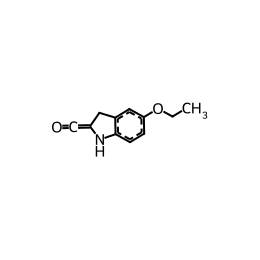 CCOc1ccc2c(c1)CC(=C=O)N2